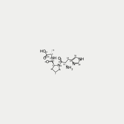 C[C@H](NC(=O)[C@@H]1CCCN1C(=O)[C@@H](N)Cc1c[nH]cn1)C(=O)O